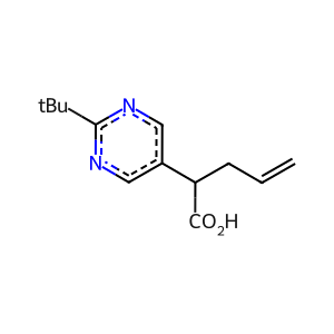 C=CCC(C(=O)O)c1cnc(C(C)(C)C)nc1